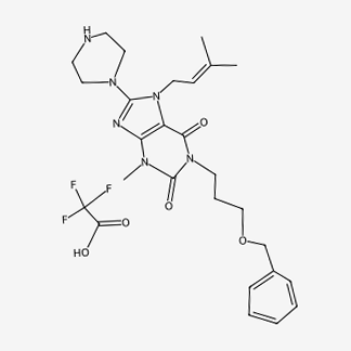 CC(C)=CCn1c(N2CCNCC2)nc2c1c(=O)n(CCCOCc1ccccc1)c(=O)n2C.O=C(O)C(F)(F)F